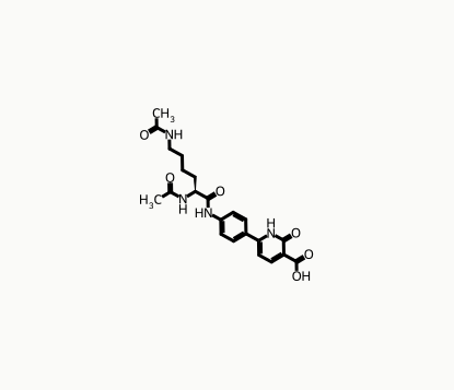 CC(=O)NCCCC[C@H](NC(C)=O)C(=O)Nc1ccc(-c2ccc(C(=O)O)c(=O)[nH]2)cc1